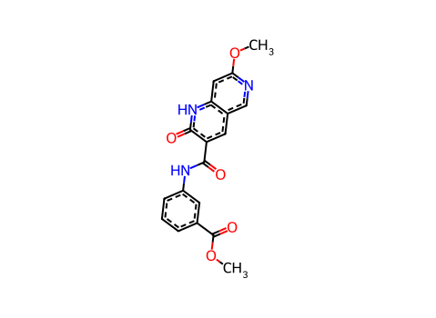 COC(=O)c1cccc(NC(=O)c2cc3cnc(OC)cc3[nH]c2=O)c1